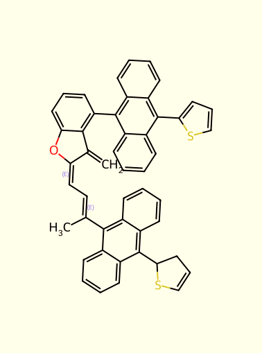 C=c1/c(=C\C=C(/C)c2c3ccccc3c(C3CC=CS3)c3ccccc23)oc2cccc(-c3c4ccccc4c(-c4cccs4)c4ccccc34)c12